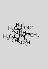 C=CC(=O)NC(C(C)(C)S(=O)(=O)O)S(=O)(=O)O.C=CC(=O)[O-].[Na+]